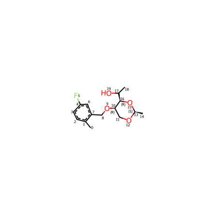 Cc1ccc(F)cc1CO[C@@H]1CO[C@H](C)O[C@@H]1C(C)O